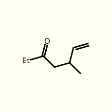 C=CC(C)CC(=O)CC